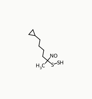 CC(CCCCC1CC1)(N=O)SS